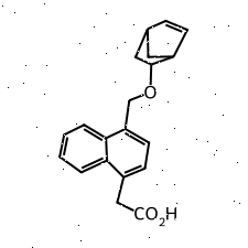 O=C(O)Cc1ccc(COC2CC3C=CC2C3)c2ccccc12